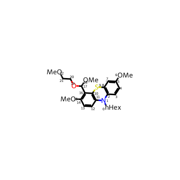 CCCCCCN1c2ccc(OC)[c]c2Sc2c1ccc(OC)c2C(OC)OCCOC